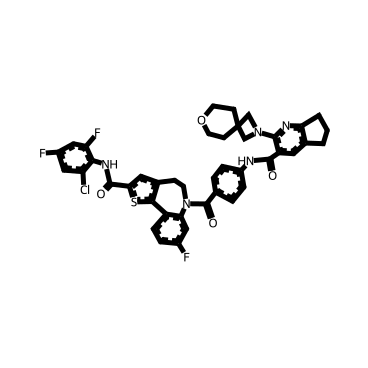 O=C(Nc1c(F)cc(F)cc1Cl)c1cc2c(s1)-c1ccc(F)cc1N(C(=O)c1ccc(NC(=O)c3cc4c(nc3N3CC5(CCOCC5)C3)CCC4)cc1)CC2